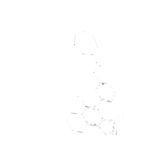 Cn1ncc2c3c(c(=O)n(-c4cccc(CNC5CCCCCC5)c4)c21)CCCC3